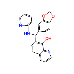 Oc1c(C(Nc2ccccn2)c2ccc3c(c2)OCO3)ccc2cccnc12